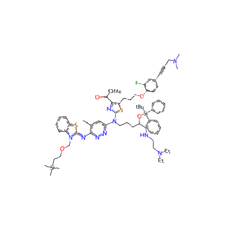 CCN(CC)CCNCC(CCCN(c1cc(C)c(/N=c2\sc3ccccc3n2COCC[Si](C)(C)C)nn1)c1nc(C(=O)OC)c(CCCOc2ccc(C#CCN(C)C)cc2F)s1)O[Si](c1ccccc1)(c1ccccc1)C(C)(C)C